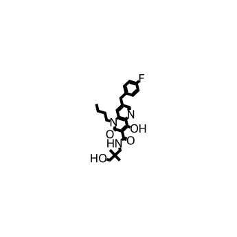 CCCCn1c(=O)c(C(=O)NCC(C)(C)CO)c(O)c2ncc(Cc3ccc(F)cc3)cc21